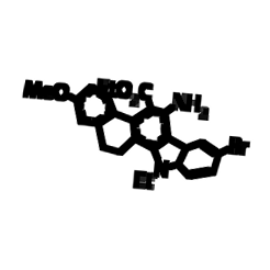 CCOC(=O)c1c(N)c2c(c3c1-c1ccc(OC)cc1CC3)N(CC)C1C=CC(Br)=CC21